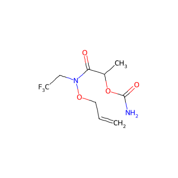 C=CCON(CC(F)(F)F)C(=O)C(C)OC(N)=O